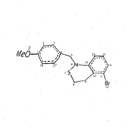 COc1ccc(CN2SCCc3c(Br)cccc32)cc1